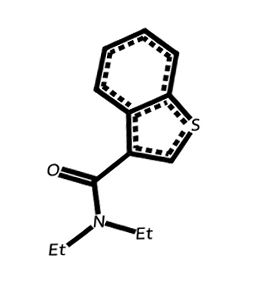 CCN(CC)C(=O)c1csc2ccccc12